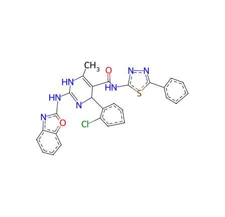 CC1=C(C(=O)Nc2nnc(-c3ccccc3)s2)C(c2ccccc2Cl)N=C(Nc2nc3ccccc3o2)N1